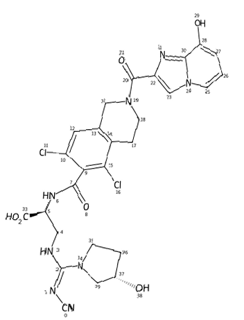 N#C/N=C(/NC[C@H](NC(=O)c1c(Cl)cc2c(c1Cl)CCN(C(=O)c1cn3cccc(O)c3n1)C2)C(=O)O)N1CC[C@H](O)C1